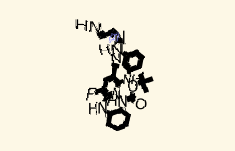 CC(C)(C)OC(=O)N[C@H]1CCCC[C@H]1Nc1nc(Nc2cccc(N/N=C\C=N)c2)c(C#N)cc1F